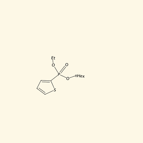 CCCCCCOP(=O)(OCC)c1cccs1